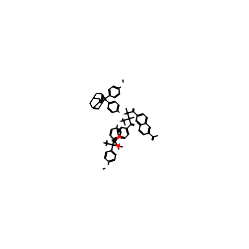 COc1ccc(C2(c3ccc(OC(C)(C(=O)c4ccc5cc(C(C)=O)ccc5c4)C(C)(C(=O)c4ccc(C(C)=O)cc4)C(C)(C)Oc4ccc(C(c5ccc(OC)cc5)(C(F)(F)F)C(F)(F)F)cc4)cc3)C3CC4CC(C3)CC2C4)cc1